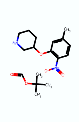 CC(C)(C)OC=O.Cc1ccc([N+](=O)[O-])c(OC2CCCNC2)c1